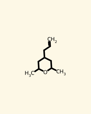 C=CCC1CC(C)OC(C)C1